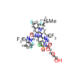 CSC(C)(C)C#Cc1ccc(-c2ccc(Cl)c3c(N(C(=O)OCCOCCO)[S+](C)[O-])nn(CC(F)(F)F)c23)c(C(Cc2cc(F)cc(F)c2)NC(=O)Cn2nc(C(F)(F)F)c3c2C(F)(F)C[C@@H]3C)n1